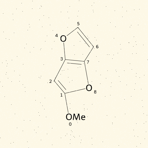 COc1cc2occc2o1